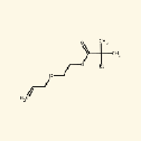 C=CCOCCOC(=O)C(C)(C)CC